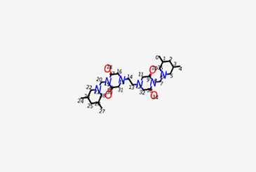 CC1CC(C)CN(CN2C(=O)CN(CCN3CC(=O)N(CN4CC(C)CC(C)C4)C(=O)C3)CC2=O)C1